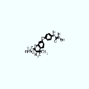 CCCOC1(C)CC(C)(C)c2ccc(Oc3ccc(NC(=O)NO)cc3)cc2O1